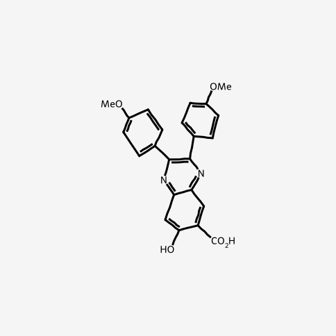 COc1ccc(-c2nc3cc(O)c(C(=O)O)cc3nc2-c2ccc(OC)cc2)cc1